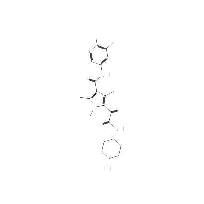 Cc1cc(NC(=O)c2c(C)c(C(=O)C(=O)N[C@H]3CC[C@@H](O)CC3)n(C)c2C)ccc1F